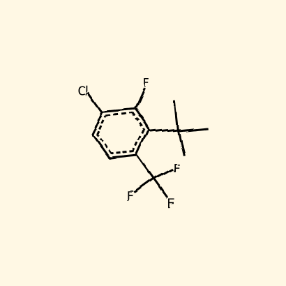 CC(C)(C)c1c(C(F)(F)F)ccc(Cl)c1F